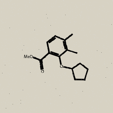 COC(=O)c1ccc(C)c(C)c1OC1CCCC1